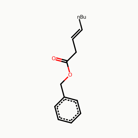 CCCCC=CCC(=O)OCc1ccccc1